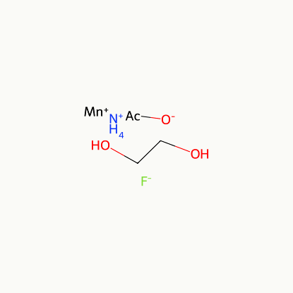 CC(=O)[O-].OCCO.[F-].[Mn+].[NH4+]